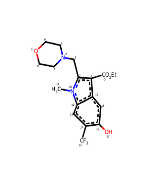 CCOC(=O)c1c(CN2CCOCC2)n(C)c2cc(C(F)(F)F)c(O)cc12